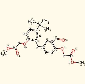 COC(=O)COc1ccc(Cc2cc(C(C)(C)C)ccc2OCC(=O)OC)cc1C=O